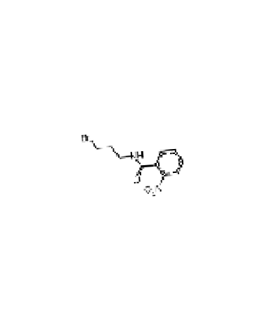 O=C(NCCCBr)c1ccccc1[N+](=O)[O-]